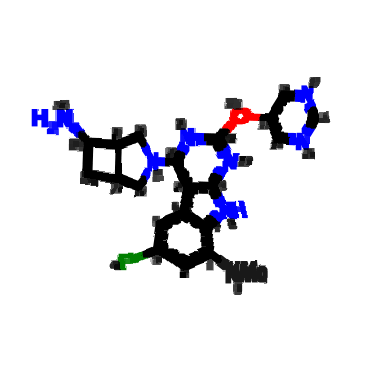 CNc1cc(F)cc2c1[nH]c1nc(Oc3cncnc3)nc(N3CC4C[C@@H](N)C4C3)c12